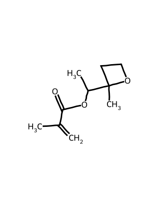 C=C(C)C(=O)OC(C)C1(C)CCO1